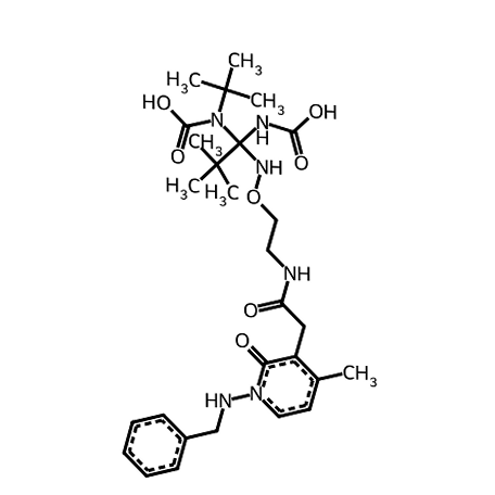 Cc1ccn(NCc2ccccc2)c(=O)c1CC(=O)NCCONC(NC(=O)O)(N(C(=O)O)C(C)(C)C)C(C)(C)C